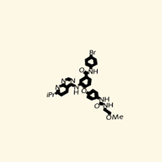 COCCNC(=O)Nc1ccc(Oc2ccc(C(=O)Nc3ccc(Br)cc3)cc2Nc2ncnc3nc(C(C)C)ccc23)cc1